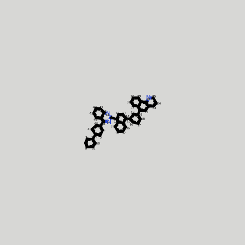 c1ccc(-c2ccc(-c3nc(-c4ccc(-c5cccc(-c6cc7cccnc7c7ccccc67)c5)c5ccccc45)nc4ccccc34)cc2)cc1